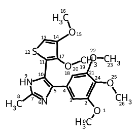 COc1cc(-c2nc(C)[nH]c2-c2scc(OC)c2OC)cc(OC)c1OC